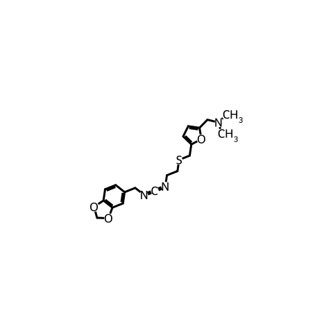 CN(C)Cc1ccc(CSCCN=C=NCc2ccc3c(c2)OCO3)o1